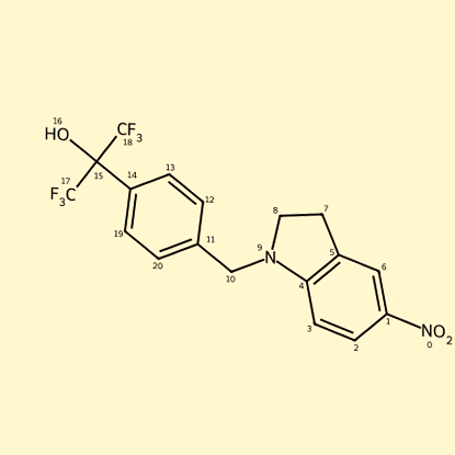 O=[N+]([O-])c1ccc2c(c1)CCN2Cc1ccc(C(O)(C(F)(F)F)C(F)(F)F)cc1